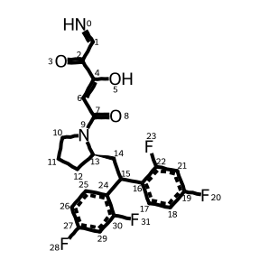 N=CC(=O)/C(O)=C/C(=O)N1CCC[C@@H]1CC(c1ccc(F)cc1F)c1ccc(F)cc1F